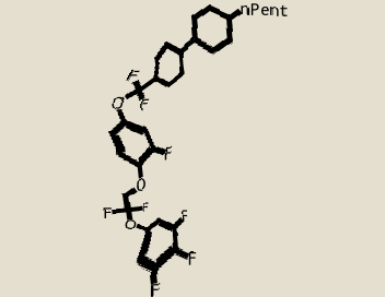 CCCCCC1CCC(C2CCC(C(F)(F)Oc3ccc(OCC(F)(F)Oc4cc(F)c(F)c(F)c4)c(F)c3)CC2)CC1